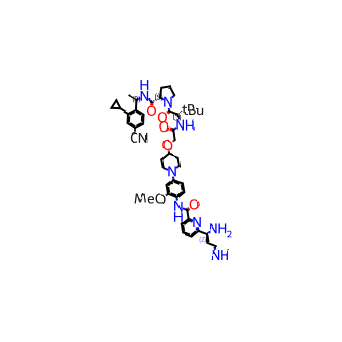 COc1cc(N2CCC(OCC(=O)N[C@H](C(=O)N3CCC[C@H]3C(=O)N[C@H](C)c3ccc(C#N)cc3C3CC3)C(C)(C)C)CC2)ccc1NC(=O)c1cccc(/C(N)=C/C=N)n1